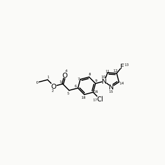 CCOC(=O)Cc1ccc(-n2cc(F)cn2)c(Cl)c1